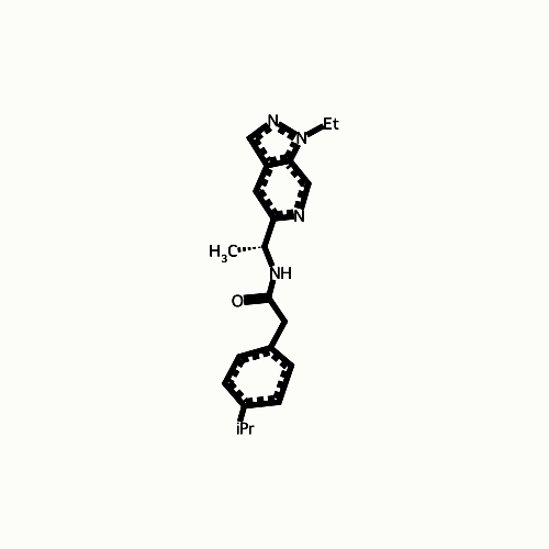 CCn1ncc2cc([C@@H](C)NC(=O)Cc3ccc(C(C)C)cc3)ncc21